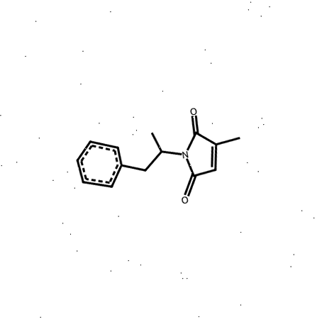 CC1=CC(=O)N(C(C)Cc2ccccc2)C1=O